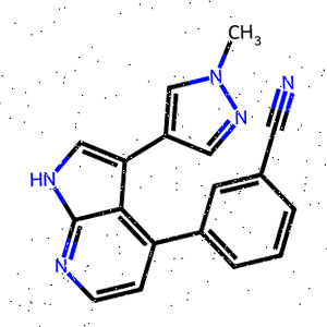 Cn1cc(-c2c[nH]c3nccc(-c4cccc(C#N)c4)c23)cn1